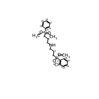 CO[Si](CCCNCCC[Si](OC)(OC)c1ccccc1)(OC)c1ccccc1